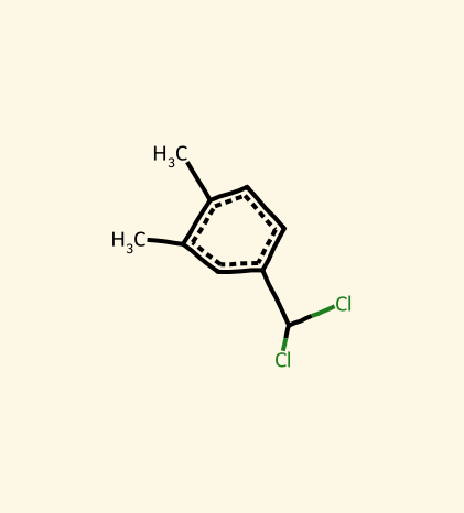 Cc1ccc(C(Cl)Cl)cc1C